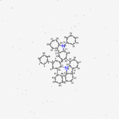 c1ccc(-c2ccc(-n3c4ccccc4c4cccc(-c5ccc6c7ccccc7n(-c7ccccc7)c6c5)c43)c(-c3ccccc3)c2)cc1